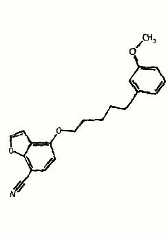 COc1cccc(CCCCCOc2ccc(C#N)c3occc23)c1